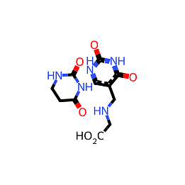 O=C(O)CNCc1c[nH]c(=O)[nH]c1=O.O=C1CCNC(=O)N1